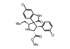 CC(C)(C)C[C@@H]1N[C@@H](C(=O)OC(C)(C)C)[C@H](c2cccc(Cl)c2)[C@]12C(=O)Nc1cc(Cl)ccc12